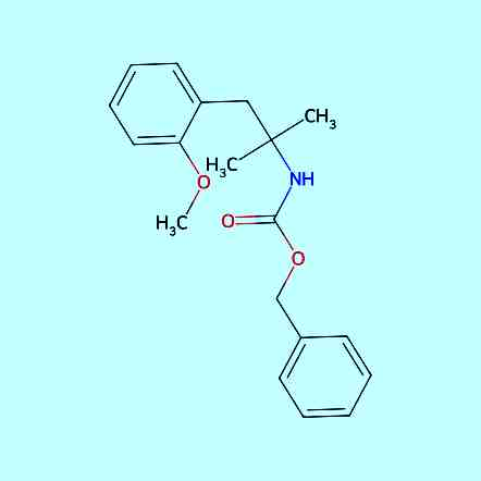 COc1ccccc1CC(C)(C)NC(=O)OCc1ccccc1